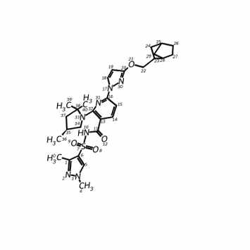 Cc1nn(C)cc1S(=O)(=O)NC(=O)c1ccc(-n2ccc(OCC3CC4CCC3C4)n2)nc1N1C[C@@H](C)CC1(C)C